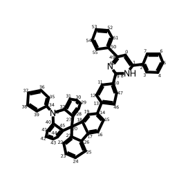 C1=C(c2ccccc2)NC(c2ccc(-c3ccc4c(c3)C3(c5ccccc5-4)c4ccccc4N(c4ccccc4)c4ccccc43)cc2)N=C1c1ccccc1